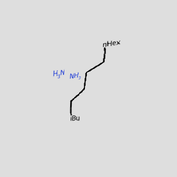 CCCCCCCCCCC(C)CC.N.N